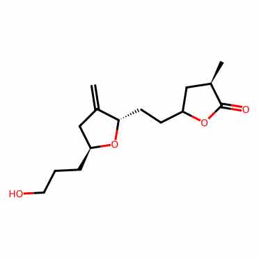 C=C1C[C@H](CCCO)O[C@H]1CCC1C[C@@H](C)C(=O)O1